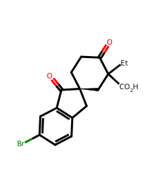 CCC1(C(=O)O)C[C@@]2(CCC1=O)Cc1ccc(Br)cc1C2=O